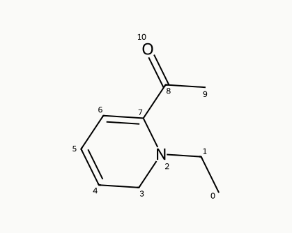 CCN1CC=CC=C1C(C)=O